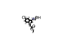 CCOC(=O)Cn1cc(/C=N/O)c2cc(Cl)ccc21